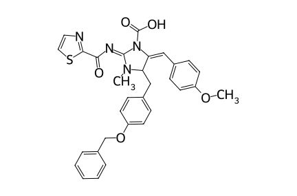 COc1ccc(C=C2C(Cc3ccc(OCc4ccccc4)cc3)N(C)C(=NC(=O)c3nccs3)N2C(=O)O)cc1